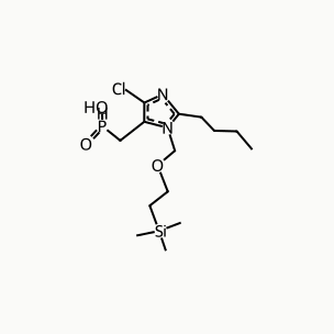 CCCCc1nc(Cl)c(C[PH](=O)O)n1COCC[Si](C)(C)C